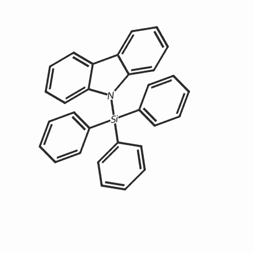 c1ccc([Si](c2ccccc2)(c2ccccc2)n2c3ccccc3c3ccccc32)cc1